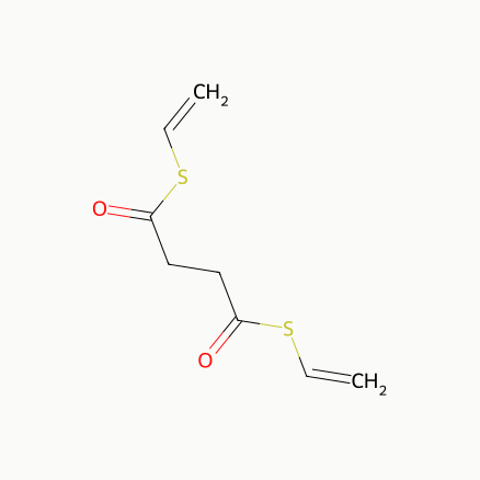 C=CSC(=O)CCC(=O)SC=C